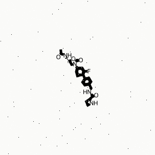 CC(=O)NC[C@H]1CN(c2ccc(-c3ccc(CNC(=O)C4CCN4)cc3)c(F)c2)C(=O)O1